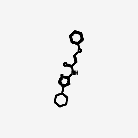 O=C(C=COc1ccccc1)Nc1cc(C2CCCCC2)cs1